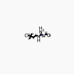 CC(C)(Cl)CCN/C(N)=N/C=O